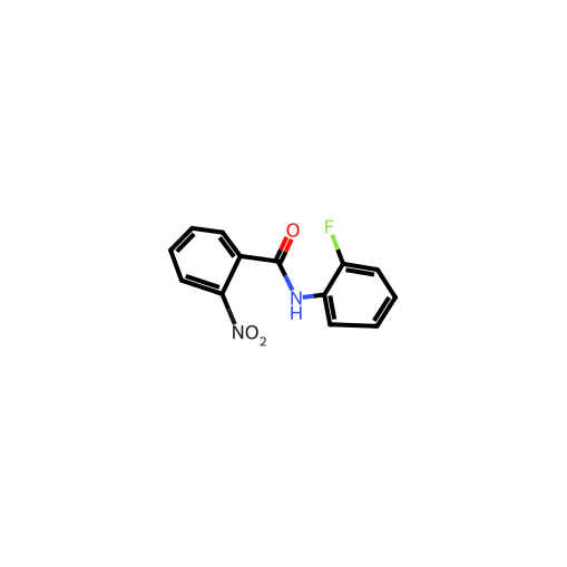 O=C(Nc1ccccc1F)c1ccccc1[N+](=O)[O-]